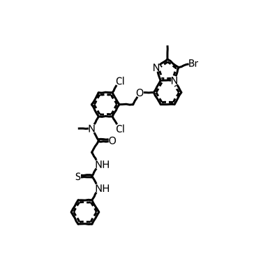 Cc1nc2c(OCc3c(Cl)ccc(N(C)C(=O)CNC(=S)Nc4ccccc4)c3Cl)cccn2c1Br